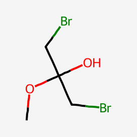 COC(O)(CBr)CBr